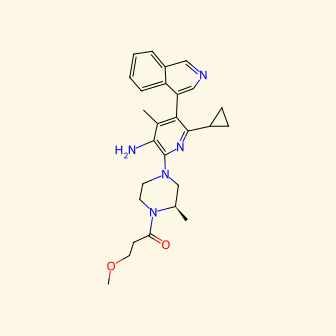 COCCC(=O)N1CCN(c2nc(C3CC3)c(-c3cncc4ccccc34)c(C)c2N)C[C@H]1C